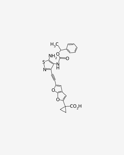 CC(OC(=O)Nc1c(C#Cc2cc3cc(C4(C(=O)O)CC4)oc3o2)nsc1N)c1ccccc1